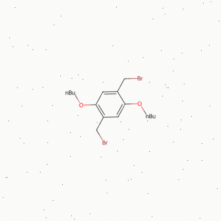 CCCCOc1cc(CBr)c(OCCCC)cc1CBr